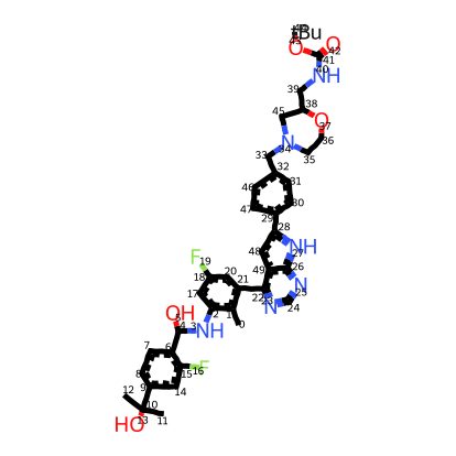 Cc1c(NC(O)c2ccc(C(C)(C)O)cc2F)cc(F)cc1-c1ncnc2[nH]c(-c3ccc(CN4CCOC(CNC(=O)OC(C)(C)C)C4)cc3)cc12